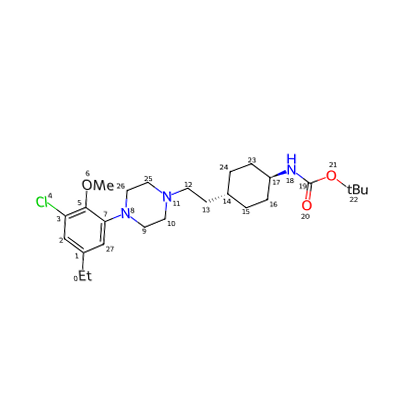 CCc1cc(Cl)c(OC)c(N2CCN(CC[C@H]3CC[C@H](NC(=O)OC(C)(C)C)CC3)CC2)c1